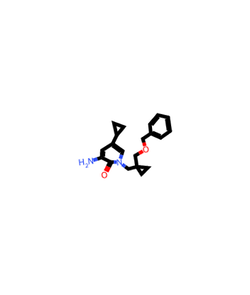 Nc1cc(C2CC2)cn(CC2(COCc3ccccc3)CC2)c1=O